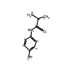 CCCc1ccc(NC(=O)C(C)N)cc1